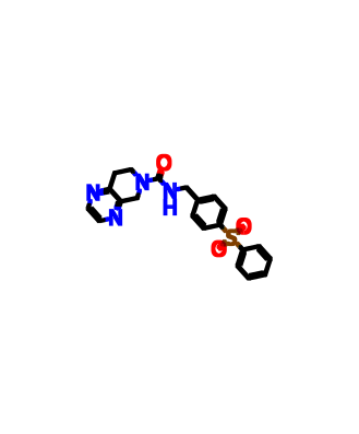 O=C(NCc1ccc(S(=O)(=O)c2ccccc2)cc1)N1CCc2nccnc2C1